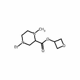 CCN1CCN(C)C(C(=O)OC2COC2)C1